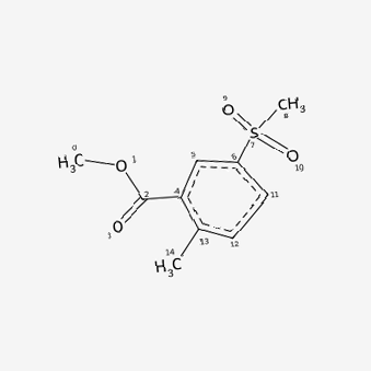 COC(=O)c1cc(S(C)(=O)=O)ccc1C